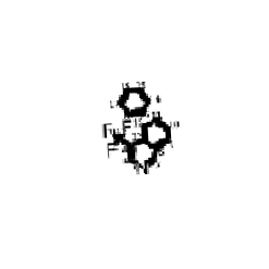 FC(F)(F)c1cncc2ccccc12.c1ccccc1